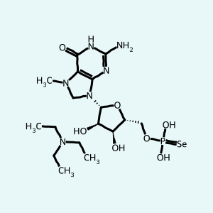 CCN(CC)CC.CN1CN([C@@H]2O[C@H](COP(O)(O)=[Se])[C@@H](O)[C@H]2O)c2nc(N)[nH]c(=O)c21